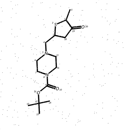 CC1SC(CN2CCN(C(=O)OC(C)(C)C)CC2)CC1=O